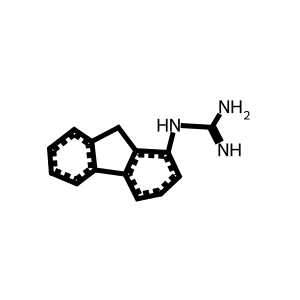 N=C(N)Nc1cccc2c1Cc1ccccc1-2